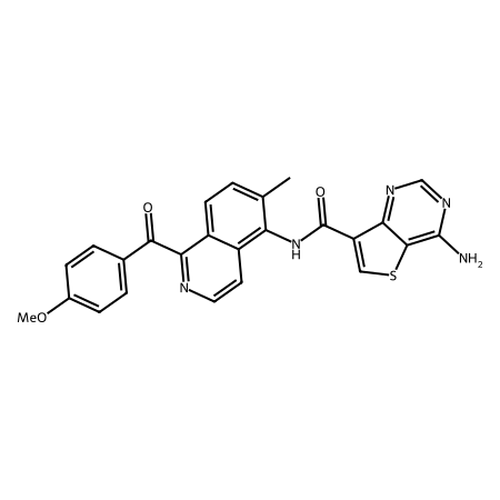 COc1ccc(C(=O)c2nccc3c(NC(=O)c4csc5c(N)ncnc45)c(C)ccc23)cc1